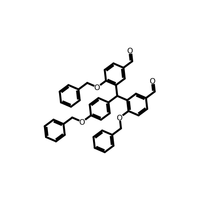 O=Cc1ccc(OCc2ccccc2)c(C(c2ccc(OCc3ccccc3)cc2)c2cc(C=O)ccc2OCc2ccccc2)c1